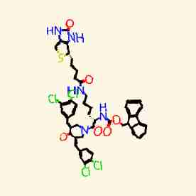 O=C(CCCC[C@@H]1SCC2NC(=O)NC21)NCCCC[C@H](NC(=O)OCC1c2ccccc2-c2ccccc21)C(=O)N1C/C(=C\c2ccc(Cl)c(Cl)c2)C(=O)/C(=C/c2ccc(Cl)c(Cl)c2)C1